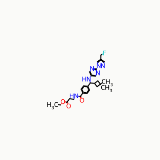 CCOC(=O)CCNC(=O)c1ccc(C(Nc2cnc(-n3cc(CF)cn3)nc2)C2CC(C)(C)C2)cc1